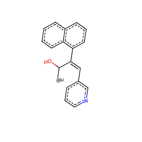 CC(C)(C)C(O)C(=Cc1cccnc1)c1cccc2ccccc12